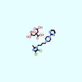 Cc1nc(Cl)c(Cl)n1CCCCN1CCN(c2ncccn2)CC1.O=C(O)CC(O)(CC(=O)O)C(=O)O